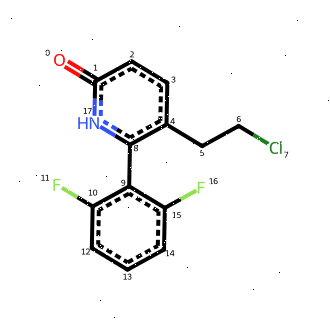 O=c1ccc(CCCl)c(-c2c(F)cccc2F)[nH]1